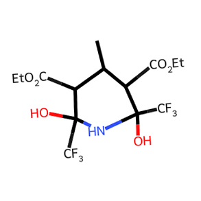 CCOC(=O)C1C(C)C(C(=O)OCC)C(O)(C(F)(F)F)NC1(O)C(F)(F)F